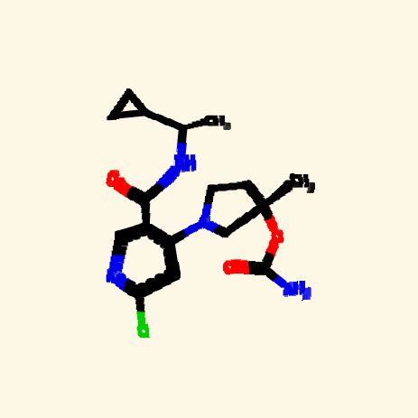 C[C@H](NC(=O)c1cnc(Cl)cc1N1CC[C@](C)(OC(N)=O)C1)C1CC1